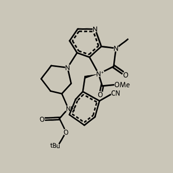 COC(=O)[N@@+]1(Cc2ccccc2C#N)C(=O)N(C)c2nccc(N3CCCC(NC(=O)OC(C)(C)C)C3)c21